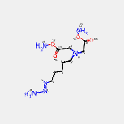 NN=NCCCCCN(CC(=O)ON)CC(=O)ON